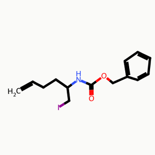 C=CCCC(CI)NC(=O)OCc1ccccc1